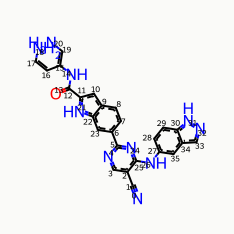 N#Cc1cnc(-c2ccc3cc(C(=O)NC(/C=C\N)=C/N)[nH]c3c2)nc1Nc1ccc2[nH]ncc2c1